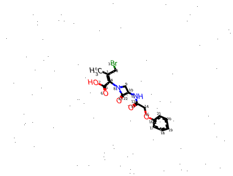 CC(CBr)=C(C(=O)O)N1CC(NC(=O)COc2ccccc2)C1=O